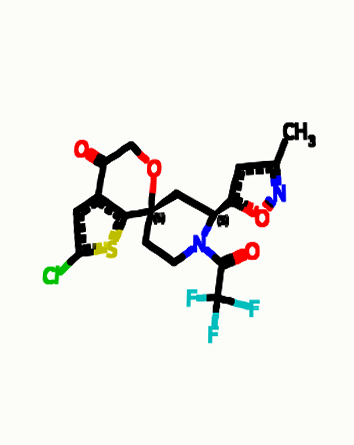 Cc1cc([C@@H]2C[C@]3(CCN2C(=O)C(F)(F)F)OCC(=O)c2cc(Cl)sc23)on1